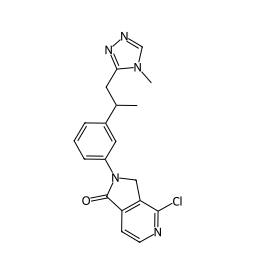 CC(Cc1nncn1C)c1cccc(N2Cc3c(ccnc3Cl)C2=O)c1